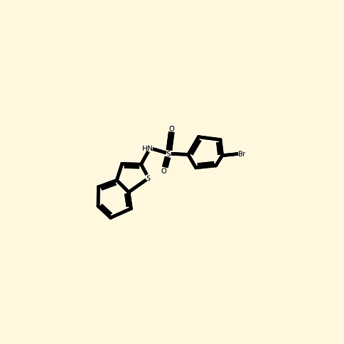 O=S(=O)(Nc1cc2ccccc2s1)c1ccc(Br)cc1